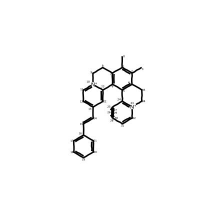 Cc1c(C)c2c(c3c1CC[n+]1ccc(/C=C/c4ccccc4)cc1-3)-c1c3ccccc3cc[n+]1CC2